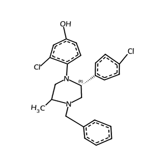 CC1CN(c2ccc(O)cc2Cl)[C@H](c2ccc(Cl)cc2)CN1Cc1ccccc1